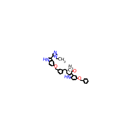 CCn1cncc1-c1c[nH]c2ccc(OCc3cccc(C[C@H](C)Cc4[nH]c5ccc(OCc6ccccc6)cc5c4C=O)c3)cc12